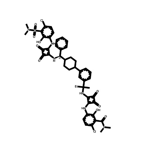 CCC(C)(Nc1c(Nc2ccc(Cl)c(C(=O)N(C)C)c2O)c(=O)c1=O)c1cccc(C2CCC([C@@H](Nc3c(Nc4ccc(Cl)c(S(=O)(=O)N(C)C)c4O)c(=O)c3=O)c3ccccc3)CC2)c1